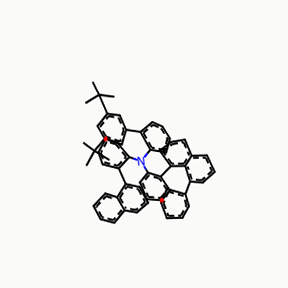 CC(C)(C)c1cc(-c2ccccc2N(c2ccccc2-c2cccc3ccccc23)c2ccccc2-c2cccc3cccc(-c4ccccc4)c23)cc(C(C)(C)C)c1